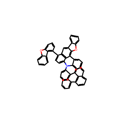 c1ccc(-c2cccc3cccc(-c4ccccc4N(c4ccc(-c5cccc6oc7ccccc7c56)cc4)c4ccccc4-c4cccc5c4oc4ccccc45)c23)cc1